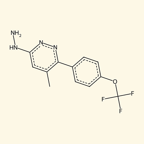 Cc1cc(NN)nnc1-c1ccc(OC(F)(F)F)cc1